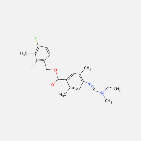 CCN(C)/C=N/c1cc(C)c(C(=O)OCc2ccc(F)c(C)c2F)cc1C